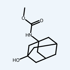 COC(=O)NC12CC3CC(CC(O)(C3)C1)C2